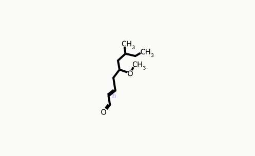 CCC(C)CC(C/C=C/C=O)OC